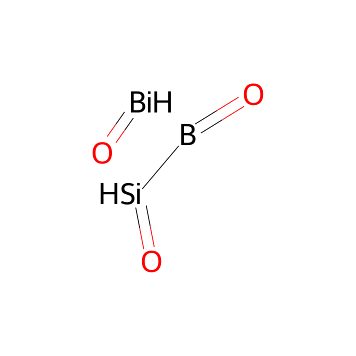 O=B[SiH]=O.[O]=[BiH]